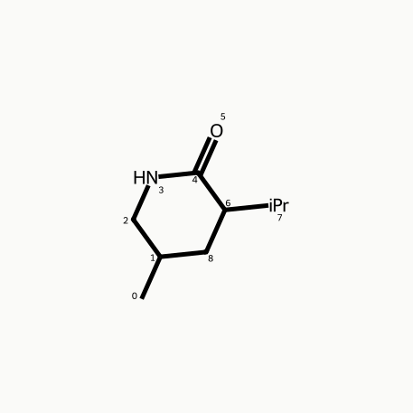 CC1CNC(=O)C(C(C)C)C1